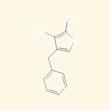 CCOC(=O)c1c(Cc2ccccc2)csc1N